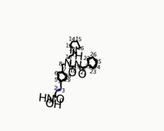 O=C(/C=C/c1ccc(CN(CCN2CCCC2)C(=O)NC(=O)c2ccccc2)cc1)NO